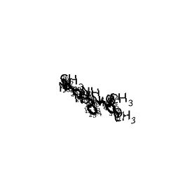 COc1ccc(CCN[C@H](c2ccccc2)[C@@H]2CNc3cc(-c4cnn(C)c4)cnc3O2)c(OC)c1